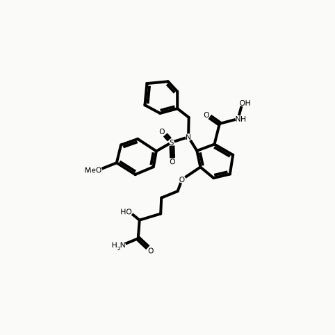 COc1ccc(S(=O)(=O)N(Cc2ccccc2)c2c(OCCCC(O)C(N)=O)cccc2C(=O)NO)cc1